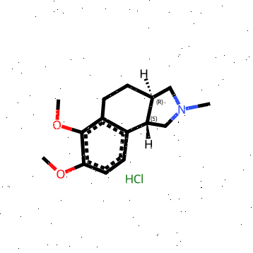 COc1ccc2c(c1OC)CC[C@H]1CN(C)C[C@H]21.Cl